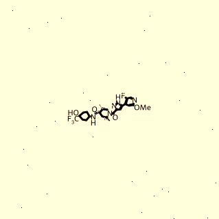 COc1cc(-c2cc(C(=O)N3C[C@@H](C)[C@H](C(=O)NC4CCC(O)(C(F)(F)F)CC4)C[C@@H]3C)n[nH]2)c(F)cn1